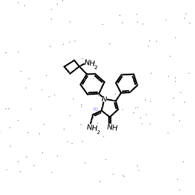 N=C1C=C(c2ccccc2)N(c2ccc(C3(N)CCC3)cc2)/C1=C/N